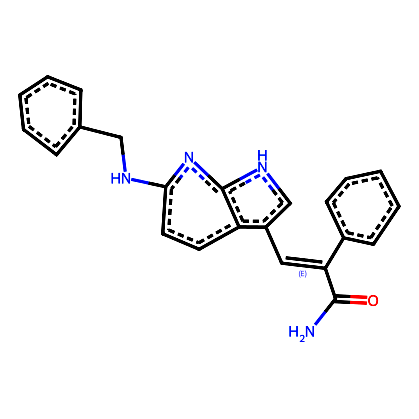 NC(=O)/C(=C/c1c[nH]c2nc(NCc3ccccc3)ccc12)c1ccccc1